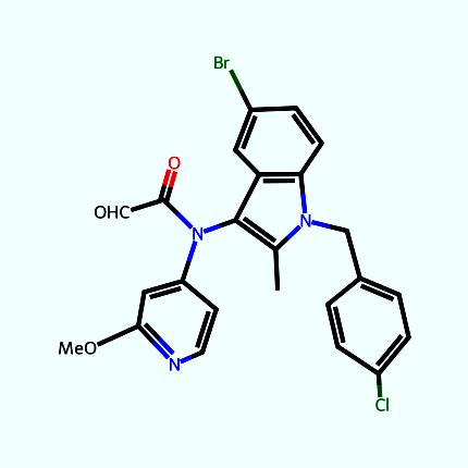 COc1cc(N(C(=O)C=O)c2c(C)n(Cc3ccc(Cl)cc3)c3ccc(Br)cc23)ccn1